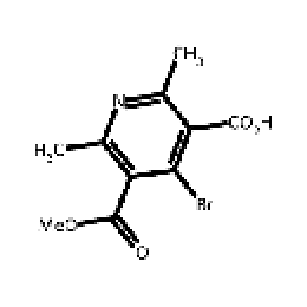 COC(=O)c1c(C)nc(C)c(C(=O)O)c1Br